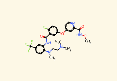 CONC(=O)c1cc(Oc2ccc(F)c(C(=O)Nc3cc(C(F)(F)F)ccc3N(C)CCN(C)C)c2)ccn1